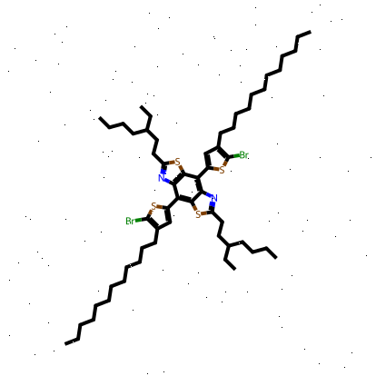 CCCCCCCCCCCCc1cc(-c2c3nc(CCC(CC)CCCC)sc3c(-c3cc(CCCCCCCCCCCC)c(Br)s3)c3nc(CCC(CC)CCCC)sc23)sc1Br